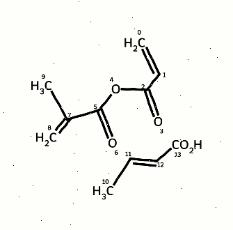 C=CC(=O)OC(=O)C(=C)C.CC=CC(=O)O